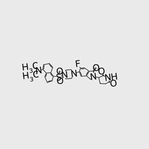 CN(C)c1cccc2c(S(=O)(=O)N3CCN(c4cc5c(cc4F)C(=O)N(C4CCC(=O)NC4=O)C5)CC3)cccc12